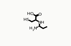 CC[C@@H](N)NC(CS)C(=O)O